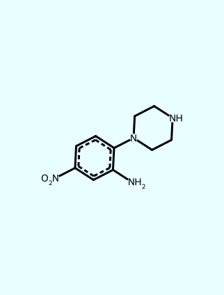 Nc1cc([N+](=O)[O-])ccc1N1CCNCC1